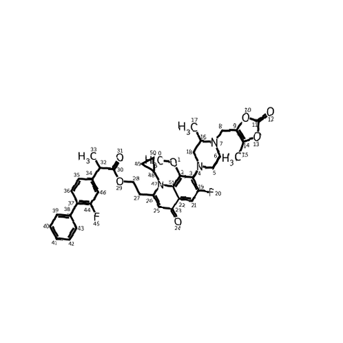 COc1c(N2CCN(Cc3oc(=O)oc3C)C(C)C2)c(F)cc2c(=O)cc(CCOC(=O)C(C)c3ccc(-c4ccccc4)c(F)c3)n(C3CC3)c12